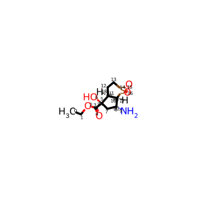 CCOC(=O)[C@@]1(O)C[C@@H](N)[C@H]2[C@@H]1CCS2(=O)=O